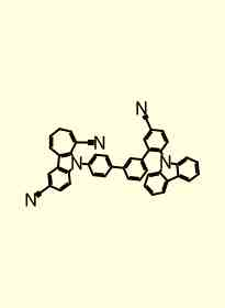 N#CC1=CCC=Cc2c1n(-c1ccc(-c3cccc(-c4cc(C#N)ccc4-n4c5ccccc5c5ccccc54)c3)cc1)c1ccc(C#N)cc21